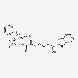 CN(C)[C@@H](CS(=O)(=O)Cc1ccccc1)C(=O)NCCCCC(O)c1nc2ccccc2s1